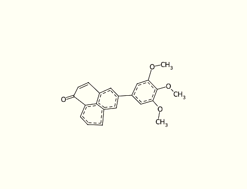 COc1cc(-c2cc3c4c(cccc4c2)C(=O)C=C3)cc(OC)c1OC